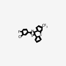 Fc1ccc(-c2nc3c(s2)-c2ccccc2Sc2cc(C(F)(F)F)ccc2-3)cc1Cl